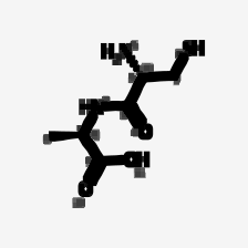 C[C@@H](NC(=O)[C@H](N)CS)C(=O)O